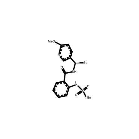 CCCCS(=O)(=O)Nc1ccccc1C(=O)N[C@H](CC)c1ccc(OC)nc1